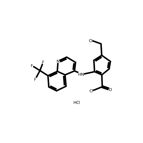 Cl.O=C(Cl)c1ccc(CCl)cc1Nc1ccnc2c(C(F)(F)F)cccc12